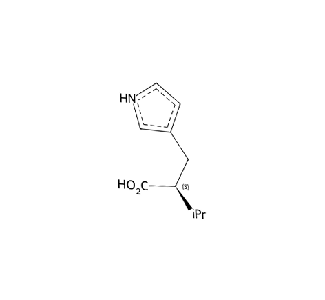 CC(C)[C@H](Cc1cc[nH]c1)C(=O)O